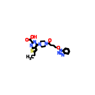 CCc1cc2c(N3CCN(C(=O)CCCOn4nnc5ccccc54)CC3)nc(C(=O)O)nc2s1